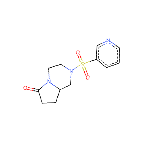 O=C1CCC2CN(S(=O)(=O)c3cccnc3)CCN12